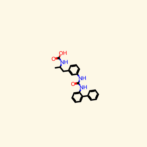 CC(Cc1cccc(NC(=O)Nc2ccccc2-c2ccccc2)c1)NC(=O)O